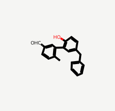 Cc1ccc(C=O)cc1-c1cc(Cc2ccccc2)ccc1O